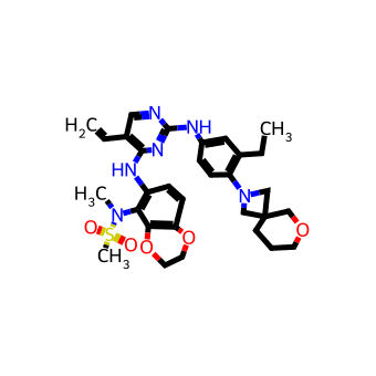 C=Cc1cnc(Nc2ccc(N3CC4(CCCOC4)C3)c(CC)c2)nc1Nc1ccc2c(c1N(C)S(C)(=O)=O)OCCO2